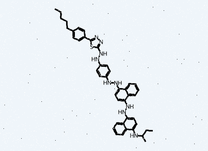 CCCCCc1ccc(-c2nnc(NNc3ccc(NNc4ccc(NNc5ccc(NC(C)CC)c6ccccc56)c5ccccc45)cc3)s2)cc1